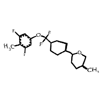 Cc1c(F)cc(OC(F)(F)C2CCC(C3CCC(C)CO3)CC2)cc1F